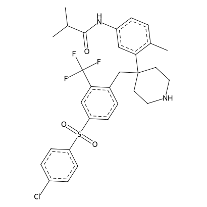 Cc1ccc(NC(=O)C(C)C)cc1C1(Cc2ccc(S(=O)(=O)c3ccc(Cl)cc3)cc2C(F)(F)F)CCNCC1